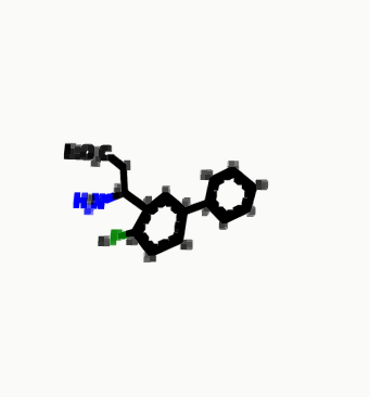 CCOC(=O)C[C@H](N)c1cc(-c2ccccc2)ccc1F